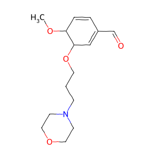 COC1C=CC(C=O)=CC1OCCCN1CCOCC1